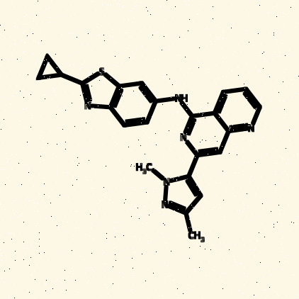 Cc1cc(-c2cc3ncccc3c(Nc3ccc4nc(C5CC5)sc4c3)n2)n(C)n1